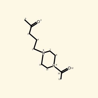 CC(=O)CCCN1CCN(C(C)=O)CC1